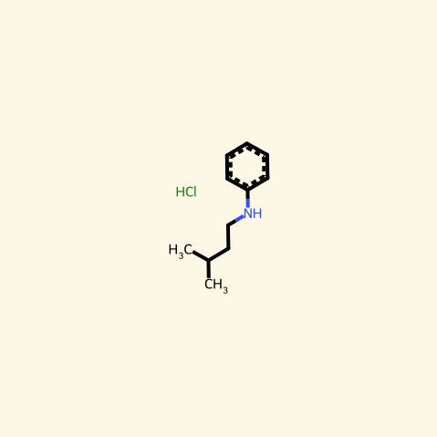 CC(C)CCNc1ccccc1.Cl